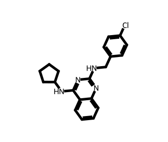 Clc1ccc(CNc2nc(NC3CCCC3)c3ccccc3n2)cc1